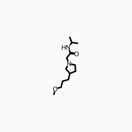 COCCCC1CCN(CC(=O)NC(C)C)C1